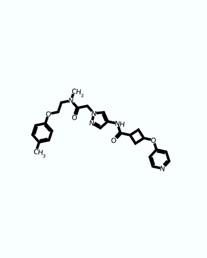 Cc1ccc(OCCN(C)C(=O)Cn2cc(NC(=O)C3CC(Oc4ccncc4)C3)cn2)cc1